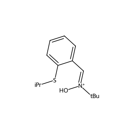 CC(C)Sc1ccccc1/C=[N+](\O)C(C)(C)C